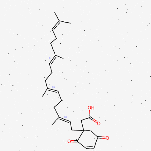 CC(C)=CCC/C(C)=C/CC/C(C)=C/CC/C(C)=C/CC1(CC(=O)O)CC(=O)C=CC1=O